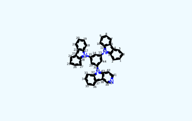 c1ccc2c(c1)c1ccccc1n2-c1cc(-n2c3ccccc3c3ccccc32)cc(-n2c3ccccc3c3cnccc32)c1